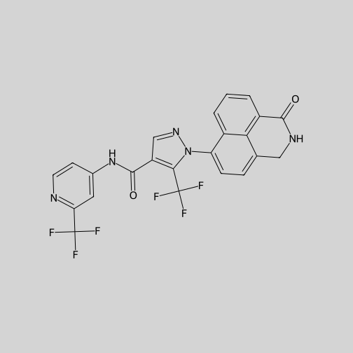 O=C(Nc1ccnc(C(F)(F)F)c1)c1cnn(-c2ccc3c4c(cccc24)C(=O)NC3)c1C(F)(F)F